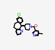 Cc1cncc(C(=O)N2CCC(=C3c4ccc(Cl)cc4CCc4cccnc43)CC2)c1